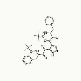 CC(C)(C)ONC(Cc1ccccc1)C(=O)C(=O)c1cn[nH]c1C(=O)C(=O)C(Cc1ccccc1)NOC(C)(C)C